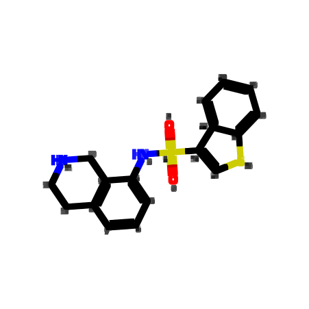 O=S(=O)(Nc1cccc2c1CNCC2)c1csc2ccccc12